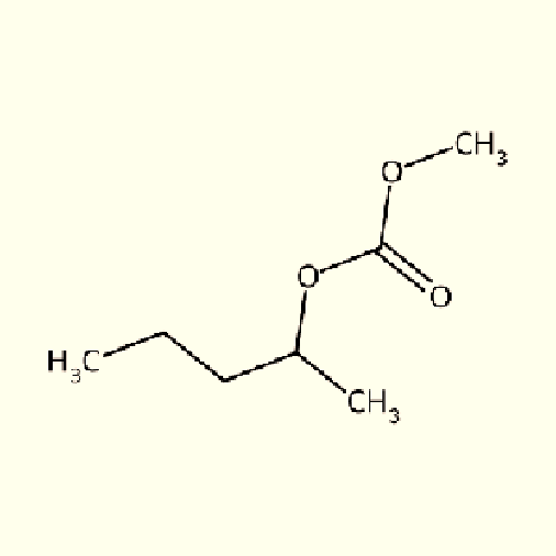 CCCC(C)OC(=O)OC